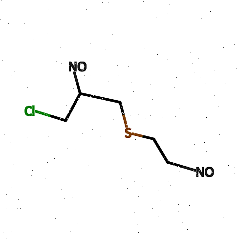 O=NCCSCC(CCl)N=O